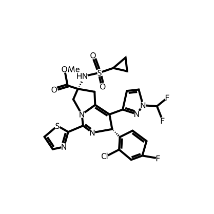 COC(=O)[C@@]1(NS(=O)(=O)C2CC2)CC2=C(c3ccn(C(F)F)n3)[C@H](c3ccc(F)cc3Cl)N=C(c3nccs3)N2C1